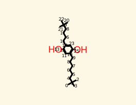 CC(C)(C)CCCCCCc1cc(O)c(CCCCC(C)(C)C)cc1O